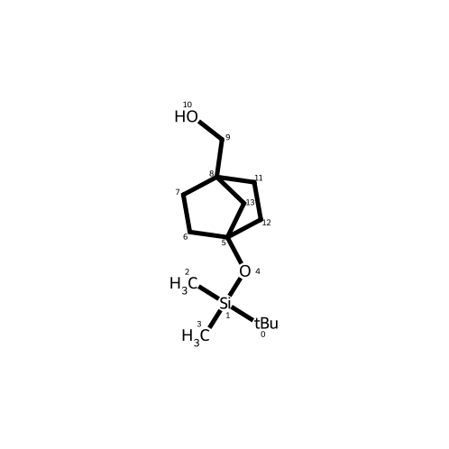 CC(C)(C)[Si](C)(C)OC12CCC(CO)(CC1)C2